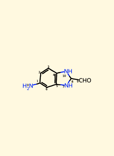 Nc1ccc2c(c1)NC(C=O)N2